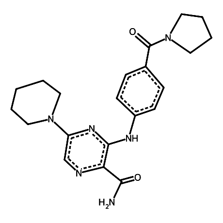 NC(=O)c1ncc(N2CCCCC2)nc1Nc1ccc(C(=O)N2CCCC2)cc1